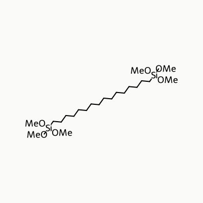 CO[Si](CCCCCCCCCCCCCCCC[Si](OC)(OC)OC)(OC)OC